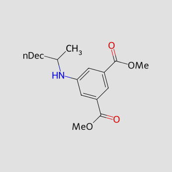 CCCCCCCCCCC(C)Nc1cc(C(=O)OC)cc(C(=O)OC)c1